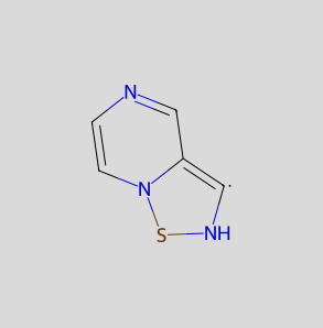 [C]1=C2C=NC=CN2SN1